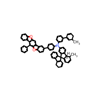 CC1C=C(c2cccc(N(c3ccc(-c4ccc5oc6c(-c7ccccc7)c7c(cc6c5c4)oc4ccccc47)cc3)c3ccc4c(c3)C3(C5=CC=CC(C)[C@H]54)C4=C(CCC=C4)c4ccccc43)c2)C=CC1